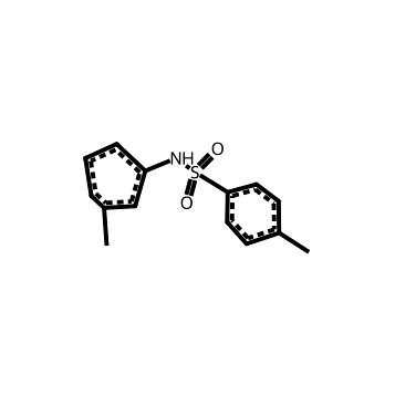 Cc1ccc(S(=O)(=O)Nc2cccc(C)c2)cc1